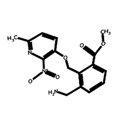 COC(=O)c1cccc(CN)c1COc1ccc(C)nc1[N+](=O)[O-]